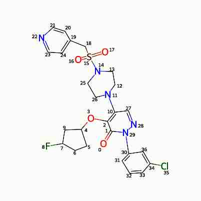 O=c1c(OC2CCC(F)C2)c(N2CCN(S(=O)(=O)Cc3ccncc3)CC2)cnn1-c1cccc(Cl)c1